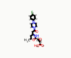 CCCC(CC(=O)N1CCN(c2ccc(F)cc2)CC1)NC(=O)[C@H]1O[C@@H]1C(=O)O